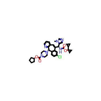 Cn1cncc1[C@H](NC(=O)OC1(C2CC2)CC1)C1=Cc2cccnc2[C@@H](N2CCN(C(=O)OC3CCCC3)CC2)c2ccc(Cl)cc21